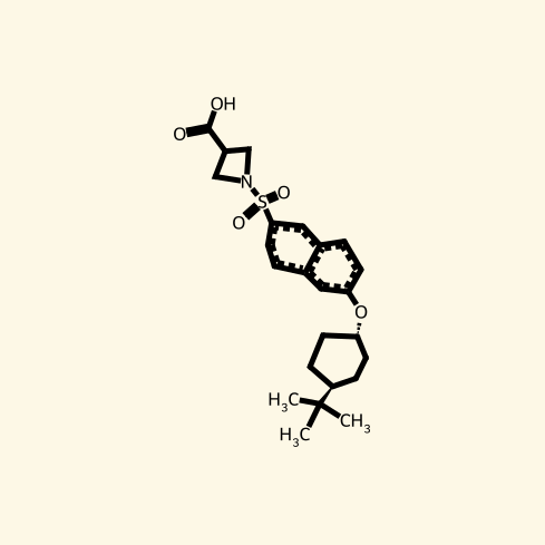 CC(C)(C)[C@H]1CC[C@H](Oc2ccc3cc(S(=O)(=O)N4CC(C(=O)O)C4)ccc3c2)CC1